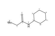 CC(C)(C)[CH]C(=O)NC1CCCCC1